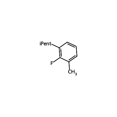 [CH2]C(CCC)c1cccc(C)c1F